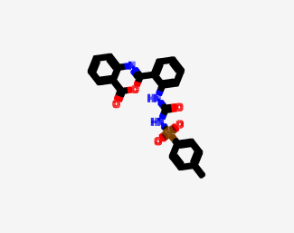 Cc1ccc(S(=O)(=O)NC(=O)Nc2ccccc2-c2nc3ccccc3c(=O)o2)cc1